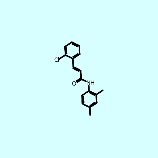 Cc1ccc(NC(=O)/C=C/c2ccccc2Cl)c(C)c1